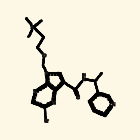 CC(NC(=O)c1cn(COCC[Si](C)(C)C)c2ncc(Br)nc12)c1cccnc1